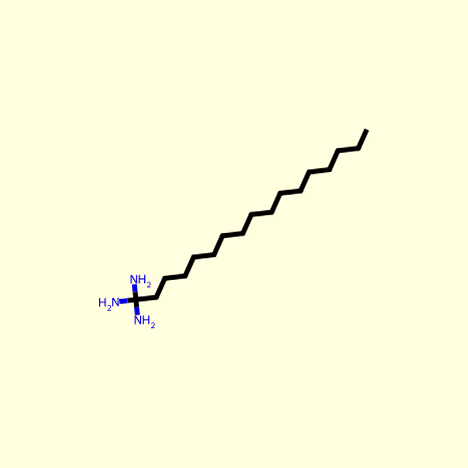 CCCCCCCCCCCCCCCCC(N)(N)N